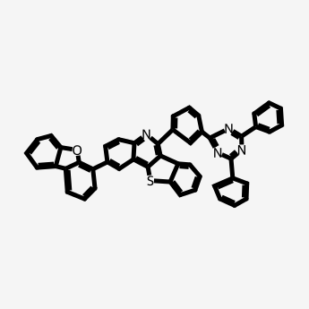 c1ccc(-c2nc(-c3ccccc3)nc(-c3cccc(-c4nc5ccc(-c6cccc7c6oc6ccccc67)cc5c5sc6ccccc6c45)c3)n2)cc1